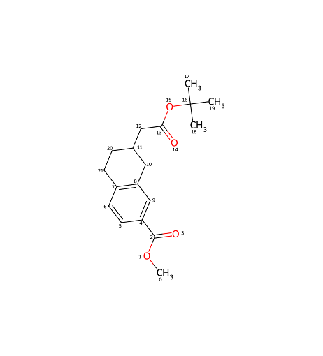 COC(=O)c1ccc2c(c1)CC(CC(=O)OC(C)(C)C)CC2